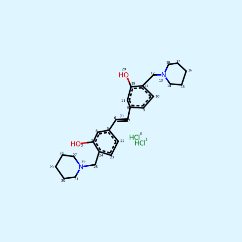 Cl.Cl.Oc1cc(/C=C/c2ccc(CN3CCCCC3)c(O)c2)ccc1CN1CCCCC1